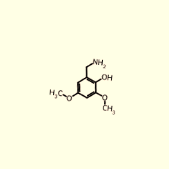 COc1cc(CN)c(O)c(OC)c1